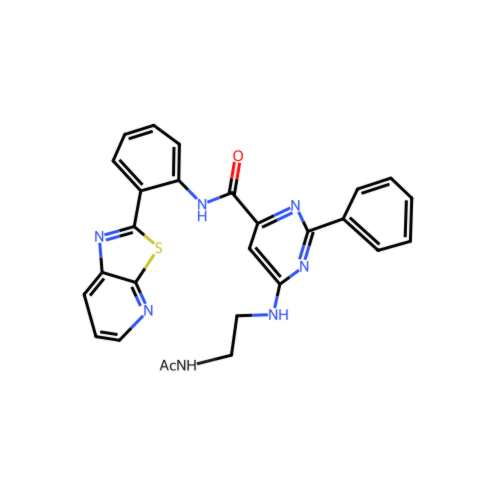 CC(=O)NCCNc1cc(C(=O)Nc2ccccc2-c2nc3cccnc3s2)nc(-c2ccccc2)n1